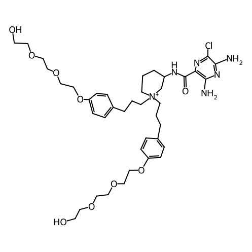 Nc1nc(N)c(C(=O)NC2CCC[N+](CCCc3ccc(OCCOCCOCCO)cc3)(CCCc3ccc(OCCOCCOCCO)cc3)C2)nc1Cl